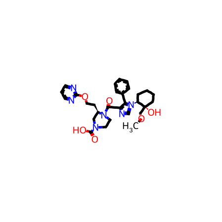 COC[C@]1(O)CCCC[C@H]1n1cnc(C(=O)N2CCN(C(=O)O)C[C@H]2CCOc2ncccn2)c1-c1ccccc1